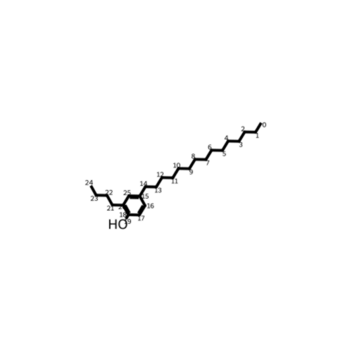 CCCCCCCCCCCCCCCc1ccc(O)c(CCCC)c1